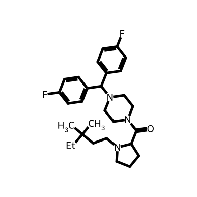 CCC(C)(C)CCN1CCCC1C(=O)N1CCN(C(c2ccc(F)cc2)c2ccc(F)cc2)CC1